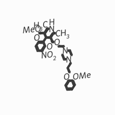 COC(=O)C1=C(C)NC(C)=C(C(=O)OCCN2CCN(CCCOc3ccccc3OC)CC2)C1c1cccc([N+](=O)[O-])c1